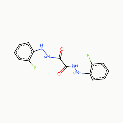 O=C(NNc1ccccc1F)C(=O)NNc1ccccc1F